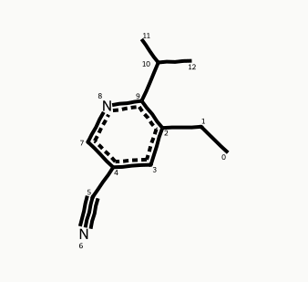 CCc1cc(C#N)cnc1C(C)C